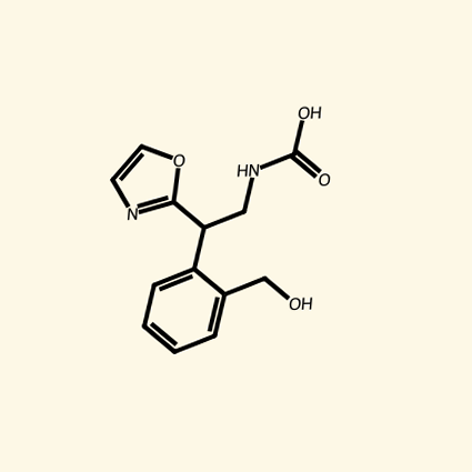 O=C(O)NCC(c1ncco1)c1ccccc1CO